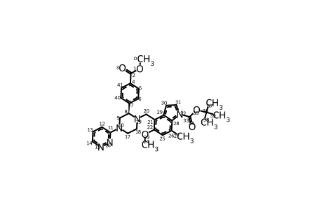 COC(=O)c1ccc([C@@H]2CN(c3cccnn3)CCN2Cc2c(OC)cc(C)c3c2ccn3C(=O)OC(C)(C)C)cc1